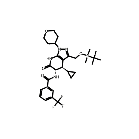 CC(C)(C)[Si](C)(C)OCc1nn(C2CCOCC2)c2c1[C@@H](C1CC1)[C@H](NC(=O)c1cccc(C(F)(F)F)c1)C(=O)N2